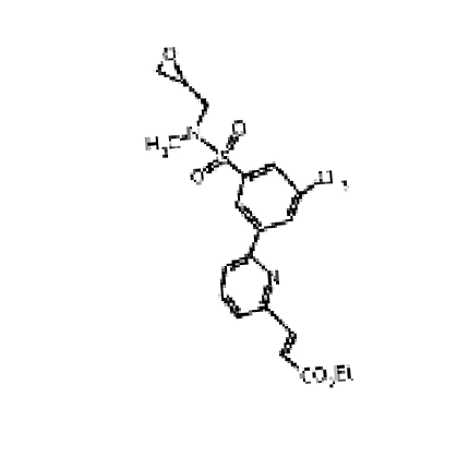 CCOC(=O)C=Cc1cccc(-c2cc(C(F)(F)F)cc(S(=O)(=O)N(C)C[C@H]3CO3)c2)n1